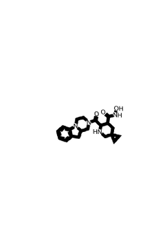 O=C(NO)C1CC2(CC2)CNC1C(=O)N1CCN2c3ccccc3CC2C1